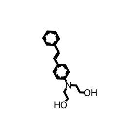 OCCN(CCO)c1ccc(/C=C/c2ccccc2)cc1